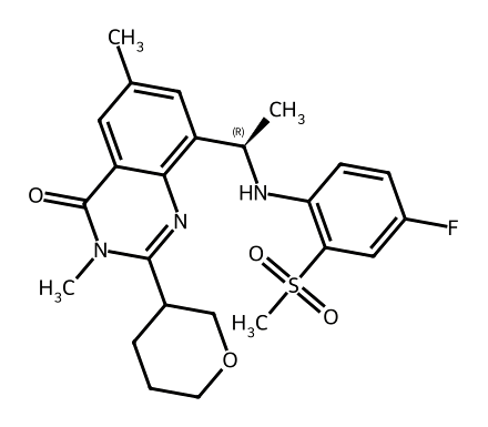 Cc1cc([C@@H](C)Nc2ccc(F)cc2S(C)(=O)=O)c2nc(C3CCCOC3)n(C)c(=O)c2c1